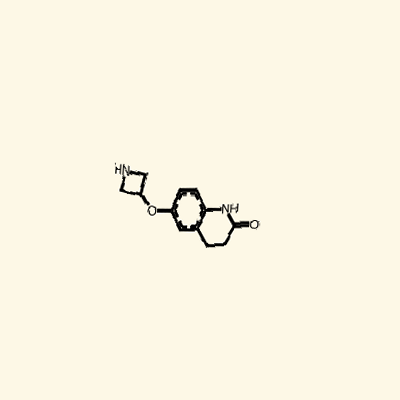 O=C1CCc2cc(OC3CNC3)ccc2N1